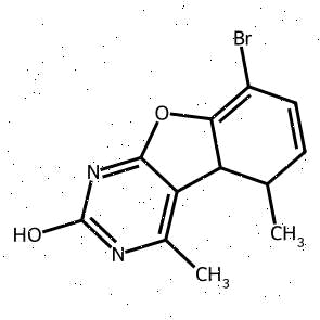 Cc1nc(O)nc2c1C1C(=C(Br)C=CC1C)O2